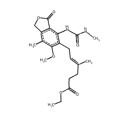 CCOC(=O)CC/C(C)=C/Cc1c(NC(=O)NC)c2c(c(C)c1OC)COC2=O